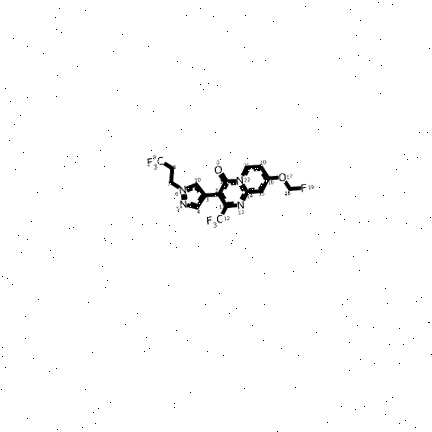 O=c1c(-c2cnn(CCC(F)(F)F)c2)c(C(F)(F)F)nc2cc(OCF)ccn12